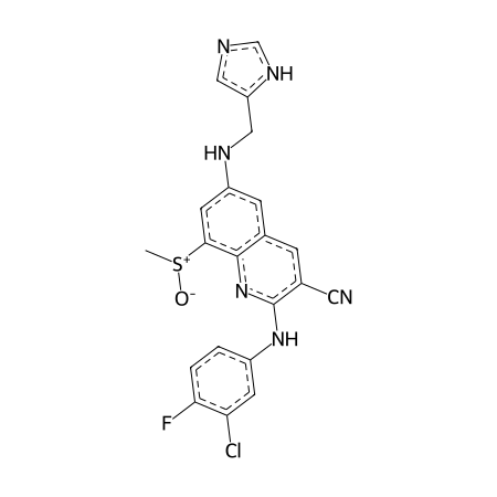 C[S+]([O-])c1cc(NCc2cnc[nH]2)cc2cc(C#N)c(Nc3ccc(F)c(Cl)c3)nc12